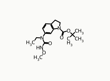 CCN(C(=O)NOC)c1ccc2c(c1)N(C(=O)OC(C)(C)C)CC2